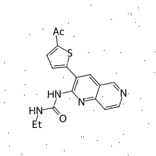 CCNC(=O)Nc1nc2ccncc2cc1-c1ccc(C(C)=O)s1